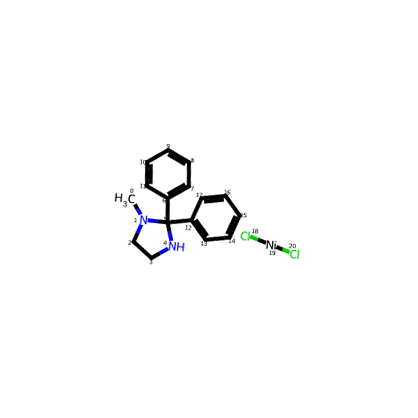 CN1CCNC1(c1ccccc1)c1ccccc1.[Cl][Ni][Cl]